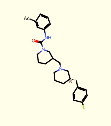 CC(=O)c1cccc(NC(=O)N2CCCC(CN3CCC[C@@H](Cc4ccc(F)cc4)C3)C2)c1